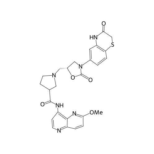 COc1ccc2nccc(NC(=O)C3CCN(C[C@@H]4CN(c5ccc6c(c5)NC(=O)CS6)C(=O)O4)C3)c2n1